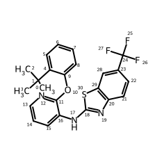 CC(C)(C)c1ccccc1Oc1ncccc1Nc1nc2ccc(C(F)(F)F)cc2s1